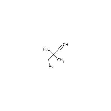 C#CC(C)(C)CC(C)=O